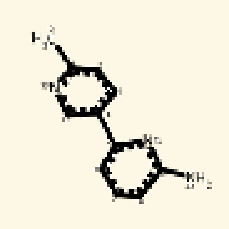 Cc1ccc(-c2cccc(N)n2)cn1